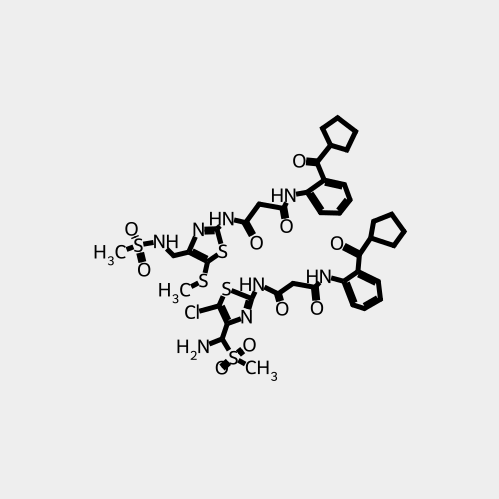 CS(=O)(=O)C(N)c1nc(NC(=O)CC(=O)Nc2ccccc2C(=O)C2CCCC2)sc1Cl.CSc1sc(NC(=O)CC(=O)Nc2ccccc2C(=O)C2CCCC2)nc1CNS(C)(=O)=O